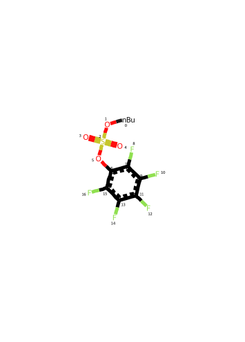 CCCCOS(=O)(=O)Oc1c(F)c(F)c(F)c(F)c1F